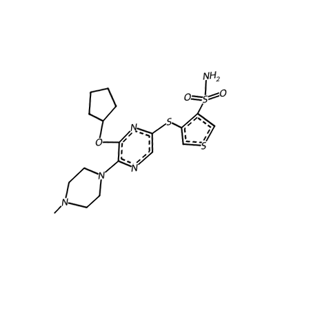 CN1CCN(c2ncc(Sc3cscc3S(N)(=O)=O)nc2OC2CCCC2)CC1